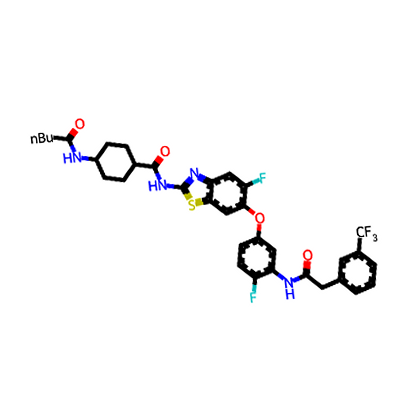 CCCCC(=O)NC1CCC(C(=O)Nc2nc3cc(F)c(Oc4ccc(F)c(NC(=O)Cc5cccc(C(F)(F)F)c5)c4)cc3s2)CC1